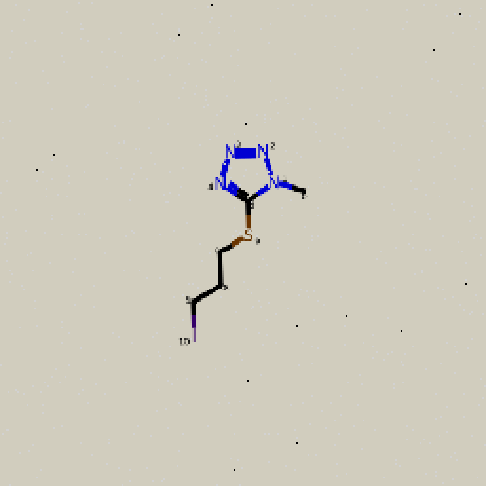 Cn1nnnc1SCCCI